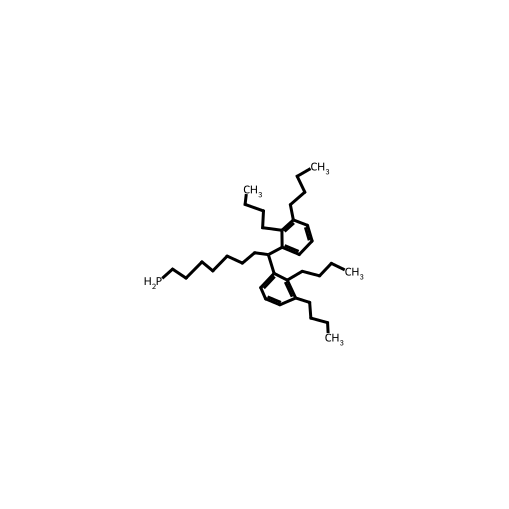 CCCCc1cccc(C(CCCCCCCP)c2cccc(CCCC)c2CCCC)c1CCCC